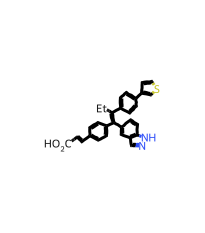 CCC(=C(c1ccc(C=CC(=O)O)cc1)c1ccc2[nH]ncc2c1)c1ccc(-c2ccsc2)cc1